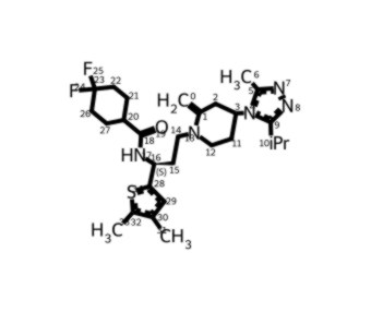 C=C1CC(n2c(C)nnc2C(C)C)CCN1CC[C@H](NC(=O)C1CCC(F)(F)CC1)c1cc(C)c(C)s1